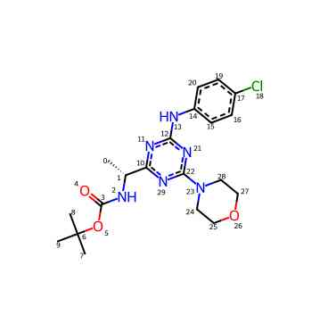 C[C@@H](NC(=O)OC(C)(C)C)c1nc(Nc2ccc(Cl)cc2)nc(N2CCOCC2)n1